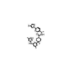 Cc1cc(Nc2cc(C)[nH]n2)nc(C2(F)CCC(C(=O)N[C@H](C)c3ccc(-n4cc(F)cn4)nc3)CC2)c1